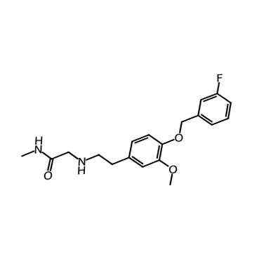 CNC(=O)CNCCc1ccc(OCc2cccc(F)c2)c(OC)c1